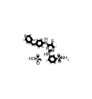 CS(=O)(=O)O.NS(=O)(=O)c1cccc(Nc2ncc(F)c(Nc3ccc(Cc4ccncc4)cc3)n2)c1